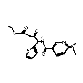 CCOC(=O)CC(=O)C(NC(=O)c1ccc(N(C)C)nc1)c1cccs1